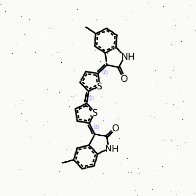 Cc1ccc2c(c1)/C(=c1\cc/c(=c3\cc/c(=C4/C(=O)Nc5ccc(C)cc54)s3)s1)C(=O)N2